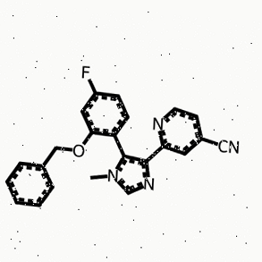 Cn1cnc(-c2cc(C#N)ccn2)c1-c1ccc(F)cc1OCc1ccccc1